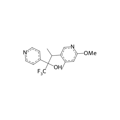 COc1cc(C)c(C(C)C(O)(c2ccncc2)C(F)(F)F)cn1